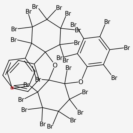 Brc1c(Br)c(Br)c(OC2(Br)C(Br)(Br)C(Br)(Br)C(Br)(Br)C(Br)(Br)C2(Br)OC2(c3ccccc3)C(Br)(Br)C(Br)(Br)C(Br)(Br)C(Br)(Br)C2(Br)c2ccccc2)c(Br)c1Br